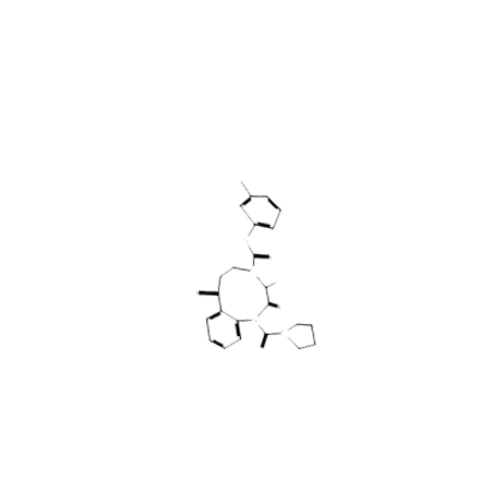 Cc1cccc(NC(=O)N2CCC(=O)c3ccccc3N(C(=O)N3CCCC3)C(=O)C2C)c1